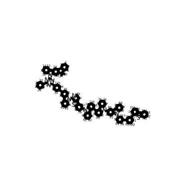 CC1(C)c2ccccc2-c2cc3c4ccccc4n(-c4nc(-c5ccccc5)nc(-c5ccc(-c6ccc7c(c6)c6ccccc6n7-c6nccc7c6sc6ccc(-n8c9ccccc9c9c(-c%10cccc%11c%10c%10ccccc%10n%11-c%10ccc%11c(c%10)c%10ccccc%10n%11-c%10cccc(-c%11cccc(-c%12cccc%13c%12sc%12ccccc%12%13)c%11)c%10)cccc98)cc67)cc5)n4)c3cc21